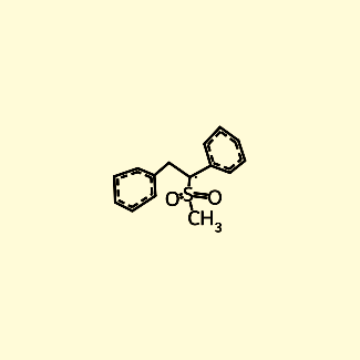 CS(=O)(=O)[C](Cc1ccccc1)c1ccccc1